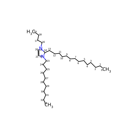 CCCCCCCCCCCCCCC1N(CCCC)C=CN1CCCCCCCCCCC